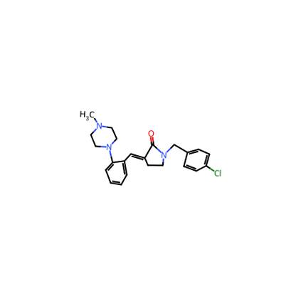 CN1CCN(c2ccccc2/C=C2\CCN(Cc3ccc(Cl)cc3)C2=O)CC1